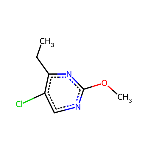 CCc1nc(OC)ncc1Cl